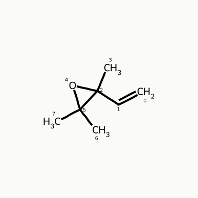 C=CC1(C)OC1(C)C